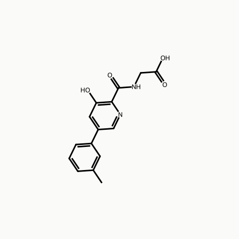 Cc1cccc(-c2cnc(C(=O)NCC(=O)O)c(O)c2)c1